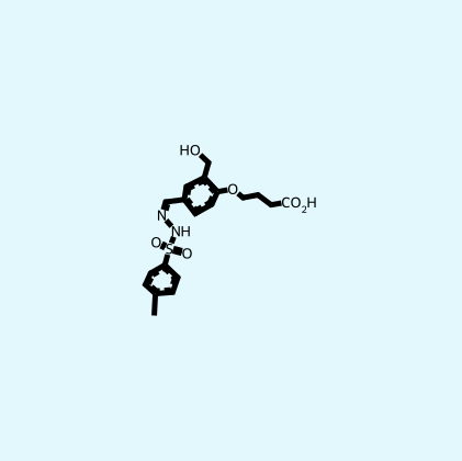 Cc1ccc(S(=O)(=O)N/N=C\c2ccc(OCCCC(=O)O)c(CO)c2)cc1